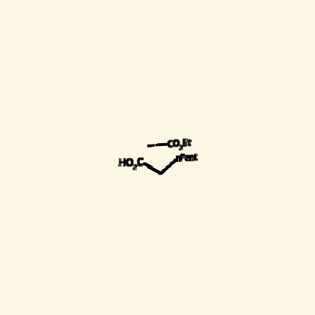 CCCCCCC(=O)O.CCOC(C)=O